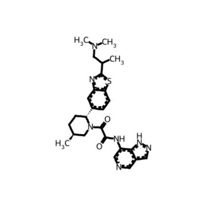 CC(CN(C)C)c1nc2cc([C@H]3CC[C@H](C)CN3C(=O)C(=O)Nc3cncc4cn[nH]c34)ccc2s1